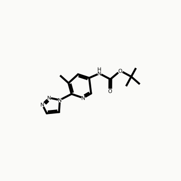 Cc1cc(NC(=O)OC(C)(C)C)cnc1-n1ccnn1